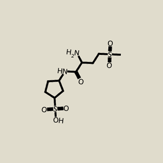 CS(=O)(=O)CCC(N)C(=O)NC1CCC(S(=O)(=O)O)C1